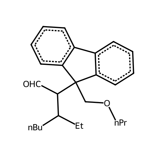 CCCCC(CC)C(C=O)C1(COCCC)c2ccccc2-c2ccccc21